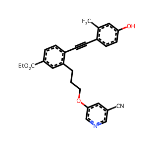 CCOC(=O)c1ccc(C#Cc2ccc(O)cc2C(F)(F)F)c(CCCOc2cncc(C#N)c2)c1